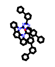 c1ccc(-c2ccc(-c3nc(-c4cccc(-c5ccccc5)c4)nc(-n4c5ccccc5c5ccc6c7ccccc7n(-c7ccccc7-c7ccc(-c8cccc(-c9ccccc9)c8)cc7)c6c54)n3)cc2)cc1